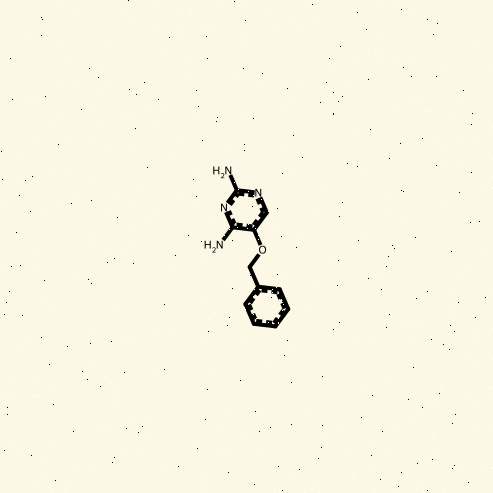 Nc1ncc(OCc2ccccc2)c(N)n1